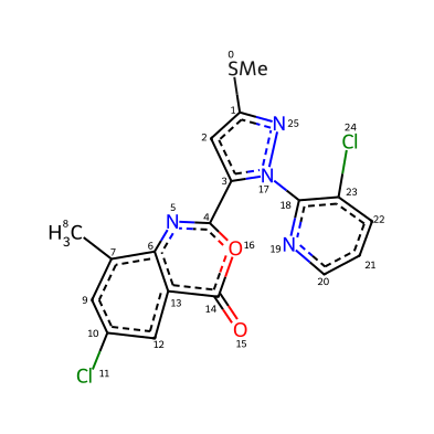 CSc1cc(-c2nc3c(C)cc(Cl)cc3c(=O)o2)n(-c2ncccc2Cl)n1